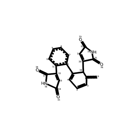 C=C1C=CC=C(c2ccccc2C2=CC(=O)NC2=O)C1C1=CC(=O)NC1=O